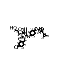 O=C(CO)Cn1c(=O)[nH]/c(=N\c2ccc(Oc3noc(C4CC4)n3)cc2)n(Cc2ccc(Cl)cc2)c1=O